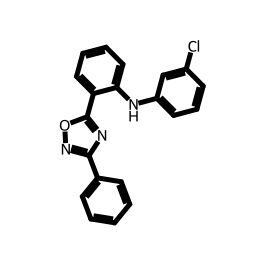 Clc1cccc(Nc2ccccc2-c2nc(-c3ccccc3)no2)c1